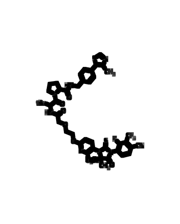 COc1nc(OCCOCC(=O)NC(C(=O)N2CCCC2C(=O)NCc2ccc(-c3scnc3C)cc2)C(C)(C)C)ccc1N1C(=S)N(c2ccc(C#N)c(C(F)(F)F)c2F)C(=O)C1(C)C